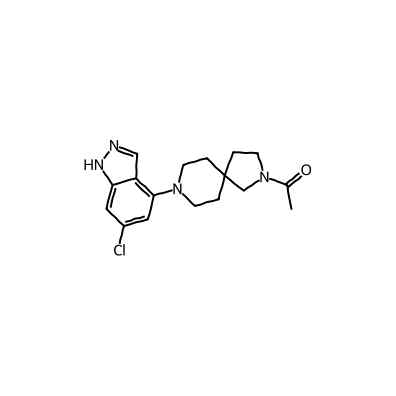 CC(=O)N1CCC2(CCN(c3cc(Cl)cc4[nH]ncc34)CC2)C1